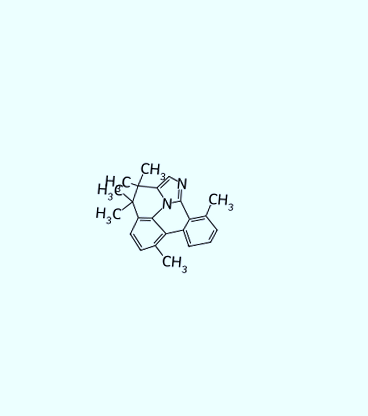 Cc1cccc2c1c1ncc3n1c1c(ccc(C)c21)C(C)(C)C3(C)C